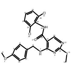 COc1ccc(CNc2nc(SC)ncc2C(=O)Nc2c(Cl)cccc2Cl)cc1